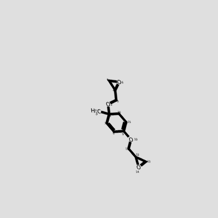 CC1(OCC2CO2)C=CC(OCC2CO2)=CC1